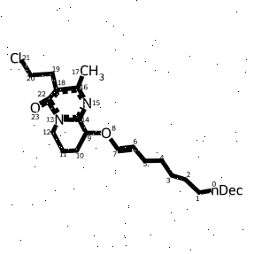 CCCCCCCCCCCCCCCC=COC1CCCn2c1nc(C)c(CCCl)c2=O